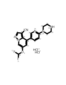 Cl.Cl.N#Cc1cnn2cc(OC(F)F)cc(-c3ccc(N4CCNCC4)nc3)c12